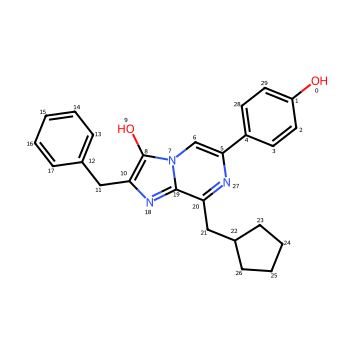 Oc1ccc(-c2cn3c(O)c(Cc4ccccc4)nc3c(CC3CCCC3)n2)cc1